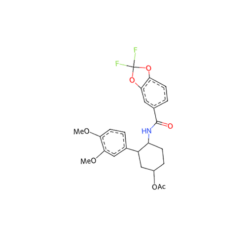 COc1ccc(C2CC(OC(C)=O)CCC2NC(=O)c2ccc3c(c2)OC(F)(F)O3)cc1OC